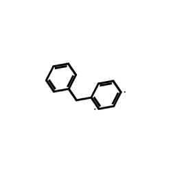 [c]1c[c]c(Cc2ccccc2)cc1